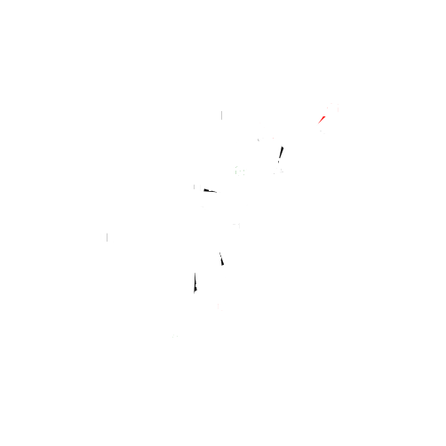 CC[C@@H]1C[C@H]2[C@@H]3C[C@H]4OC[C@@]5(CC[C@H](O)C[C@]45Br)[C@H]3CC[C@]2(C)[C@H]1C(=O)CBr